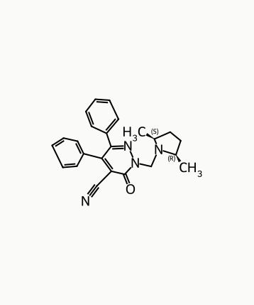 C[C@@H]1CC[C@H](C)N1Cn1nc(-c2ccccc2)c(-c2ccccc2)c(C#N)c1=O